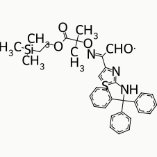 CC(C)(O/N=C(\[C]=O)c1csc(NC(c2ccccc2)(c2ccccc2)c2ccccc2)n1)C(=O)OCC[Si](C)(C)C